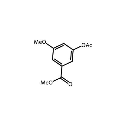 COC(=O)c1cc(OC)cc(OC(C)=O)c1